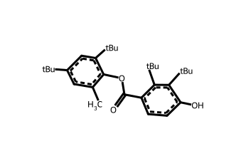 Cc1cc(C(C)(C)C)cc(C(C)(C)C)c1OC(=O)c1ccc(O)c(C(C)(C)C)c1C(C)(C)C